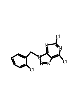 Clc1nc(Cl)c2nnn(Cc3ccccc3Cl)c2n1